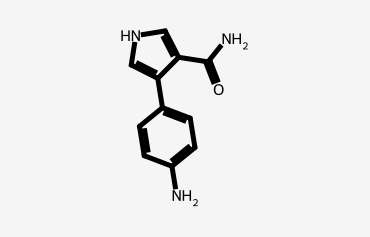 NC(=O)c1c[nH]cc1-c1ccc(N)cc1